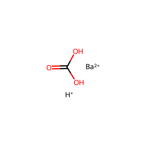 O=C(O)O.[Ba+2].[H+]